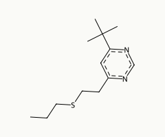 CCCSCCc1cc(C(C)(C)C)ncn1